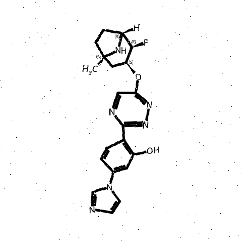 C[C@@]12CC[C@@H](N1)[C@@H](F)[C@@H](Oc1cnc(-c3ccc(-n4ccnc4)cc3O)nn1)C2